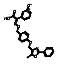 Cc1oc(-c2ccccc2)nc1COc1ccc(CO/N=C(/C(=O)O)c2ccc[n+]([O-])c2)cc1